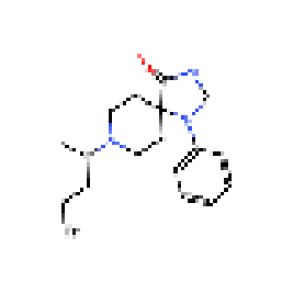 CC(C)CCC(C)N1CCC2(CC1)C(=O)NCN2c1ccccc1